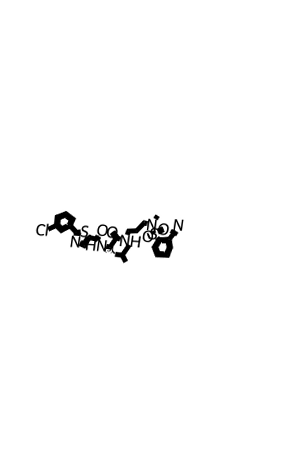 CC(C)C[C@H](NC(=O)c1cnc(-c2cccc(Cl)c2)s1)C(=O)NCCCN(C)S(=O)(=O)c1ccccc1C#N